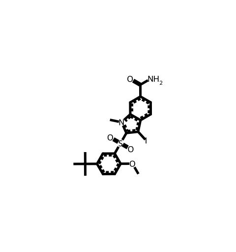 COc1ccc(C(C)(C)C)cc1S(=O)(=O)c1c(I)c2ccc(C(N)=O)cc2n1C